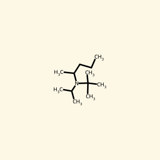 CCCC(C)N(C(C)C)C(C)(C)C